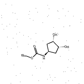 CC(C)(C)OC(=O)N[C@@H]1C[C@@H](O)[C@@H](O)C1